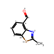 Cc1nc2c(C=O)cccc2s1